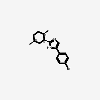 C[C@H]1CC[C@@H](C)[C@@H](c2ncc(-c3ccc(Br)cc3)[nH]2)C1